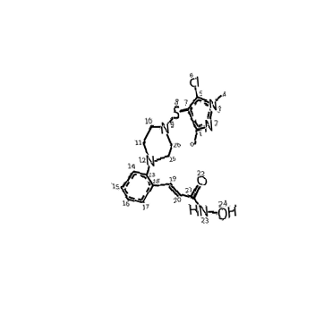 Cc1nn(C)c(Cl)c1SN1CCN(c2ccccc2/C=C/C(=O)NO)CC1